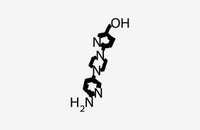 Nc1ccc(N2CCN(c3ccc(CO)cn3)CC2)cn1